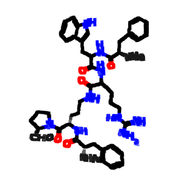 CN[C@H](Cc1ccccc1)C(=O)NC(Cc1c[nH]c2ccccc12)C(=O)NC(CCCNC(=N)N)C(=O)NCCC[C@H](NC(=O)[C@H](Cc1ccccc1)NC(C)=O)C(=O)N1CCCC1C=O